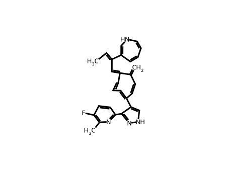 C=C1\C=C/C(c2c[nH]nc2-c2ccc(F)c(C)n2)=C/C=C/C1=C/C(=C\C)C1=CNC=CC=C1